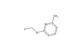 Cc1cccc(OCF)n1